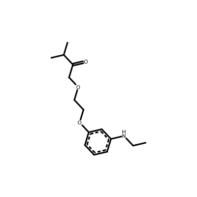 CCNc1cccc(OCCOCC(=O)C(C)C)c1